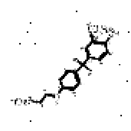 CCCCCCCCCCCCOc1ccc(C(C)(C)c2ccc(O)c(C(=O)O)c2)cc1